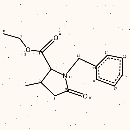 CCOC(=O)C1C(C)CC(=O)N1Cc1ccccc1